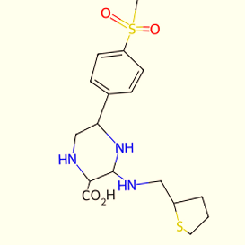 CS(=O)(=O)c1ccc(C2CNC(C(=O)O)C(NCC3CCCS3)N2)cc1